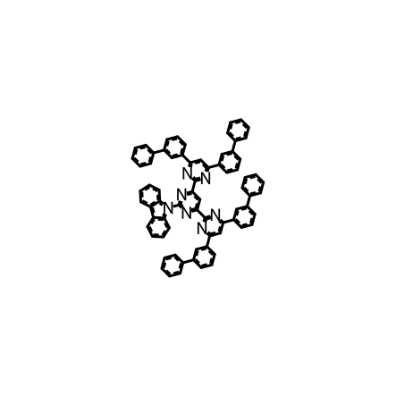 c1ccc(-c2cccc(-c3cc(-c4cccc(-c5ccccc5)c4)nc(-c4cc(-c5nc(-c6cccc(-c7ccccc7)c6)cc(-c6cccc(-c7ccccc7)c6)n5)nc(-n5c6ccccc6c6ccccc65)n4)n3)c2)cc1